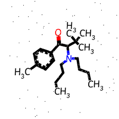 CCCCN(CCCC)C(C(=O)c1ccc(C)cc1)C(C)(C)C